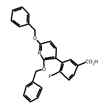 O=C(O)c1ccc(F)c(-c2ccc(OCc3ccccc3)nc2OCc2ccccc2)c1